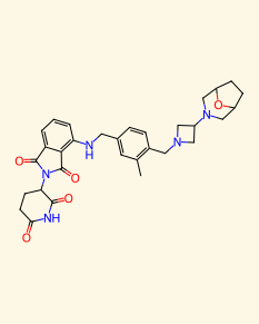 Cc1cc(CNc2cccc3c2C(=O)N(C2CCC(=O)NC2=O)C3=O)ccc1CN1CC(N2CC3CCC(C2)O3)C1